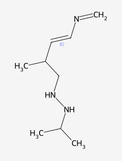 C=N/C=C/C(C)CNNC(C)C